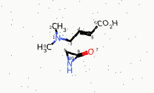 CN(C)CC=CC(=O)O.O=C1CN1